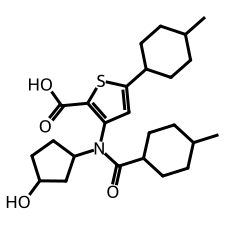 CC1CCC(C(=O)N(c2cc(C3CCC(C)CC3)sc2C(=O)O)C2CCC(O)C2)CC1